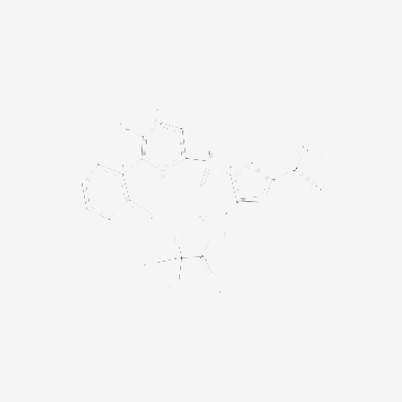 CSc1sc(C(=N)N)cc1S(=O)(=O)c1cnc(N)c(-c2ccccc2C)c1.O=C(O)C(F)(F)F